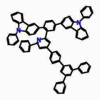 c1ccc(-c2cc(-c3ccccc3)cc(-c3ccc(-c4cc(-c5ccccc5)nc(-c5cc(-c6ccc7c(c6)c6ccccc6n7-c6ccccc6)ccc5-c5ccc6c(c5)c5ccccc5n6-c5ccccc5)c4)cc3)c2)cc1